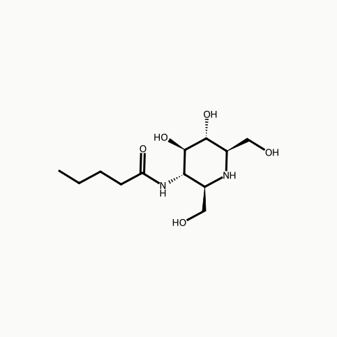 CCCCC(=O)N[C@@H]1[C@@H](O)[C@H](O)[C@@H](CO)N[C@H]1CO